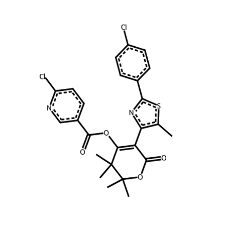 Cc1sc(-c2ccc(Cl)cc2)nc1C1=C(OC(=O)c2ccc(Cl)nc2)C(C)(C)C(C)(C)OC1=O